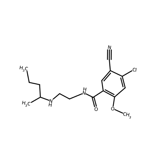 CCCC(C)NCCNC(=O)c1cc(C#N)c(Cl)cc1OC